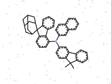 CC1(C)c2ccccc2-c2cc(N(c3ccc4ccccc4c3)c3cccc4c3-c3ccccc3C43C4CC5CC(C4)CC3C5)ccc21